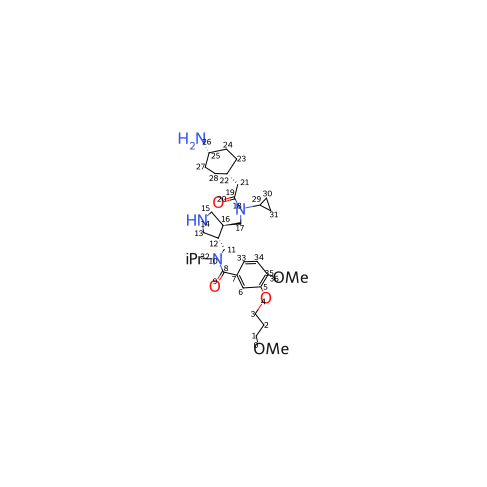 COCCCOc1cc(C(=O)N(C[C@@H]2CNC[C@H]2CN(C(=O)C[C@H]2CC[C@@H](N)CC2)C2CC2)C(C)C)ccc1OC